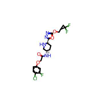 O=C(COc1ccc(Cl)c(F)c1)N[C@H]1CC[C@H](c2nnc(OCC3CC3(F)F)o2)NC1